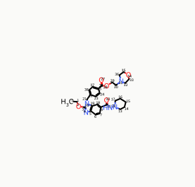 CCOc1nc2ccc(C(=O)NN3CCCCC3)cc2n1Cc1ccc(C(=O)OCCN2CCOCC2)cc1